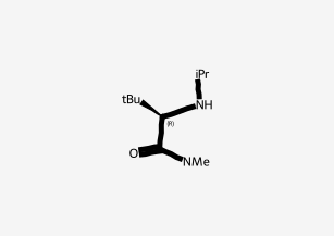 CNC(=O)[C@H](NC(C)C)C(C)(C)C